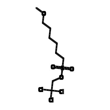 COCCCCCCS(=O)(=O)OCC(Cl)(Cl)Cl